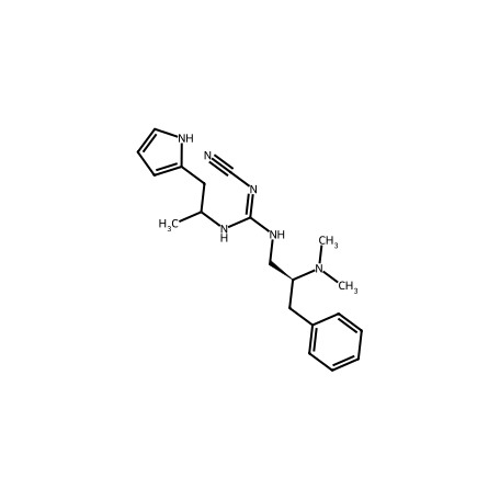 CC(Cc1ccc[nH]1)N/C(=N\C#N)NC[C@H](Cc1ccccc1)N(C)C